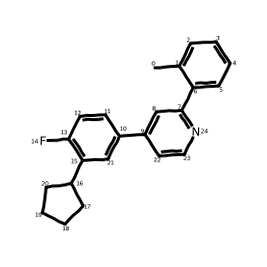 Cc1ccccc1-c1cc(-c2ccc(F)c(C3CCCC3)c2)ccn1